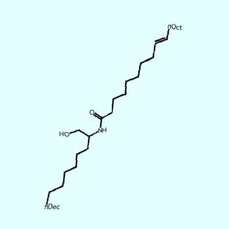 CCCCCCCC/C=C/CCCCCCCC(=O)NC(CO)CCCCCCCCCCCCCCCC